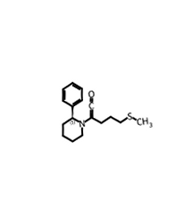 CSCCCC(=C=O)N1CCCC[C@H]1c1ccccc1